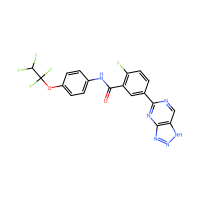 O=C(Nc1ccc(OC(F)(F)C(F)F)cc1)c1cc(-c2ncc3[nH]nnc3n2)ccc1F